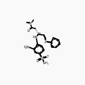 CN(C)C(=O)C[C@H](CSc1ccccc1)Nc1ccc(S(N)(=O)=O)cc1N=O